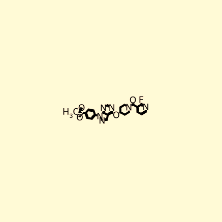 CS(=O)(=O)c1ccc(-n2ncc3c(OC4CCN(C(=O)c5cccnc5F)CC4)ncnc32)cc1